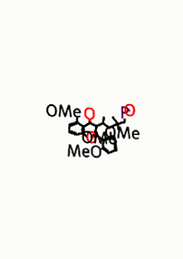 COc1cccc(OC)c1C(=O)C(C(=O)c1c(OC)cccc1OC)C(C)CC(C)(C)CP=O